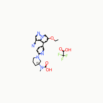 CCOc1cc(-c2ccc(N3CCC[C@H](N(C)C(=O)O)C3)nc2)c2c(C#N)cnn2c1.O=C(O)C(F)(F)F